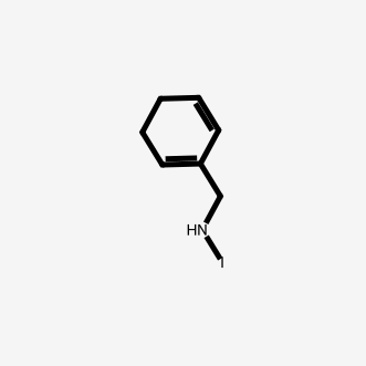 INCC1=CCCC=C1